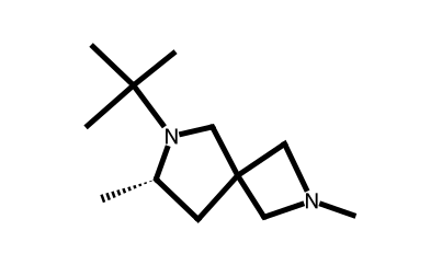 C[C@H]1CC2(CN(C)C2)CN1C(C)(C)C